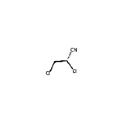 N#C[C@H](Cl)CCl